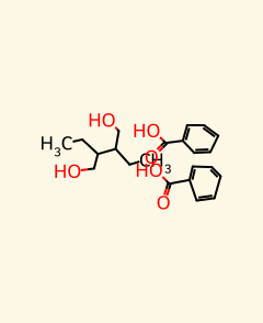 CCC(CO)C(CC)CO.O=C(O)c1ccccc1.O=C(O)c1ccccc1